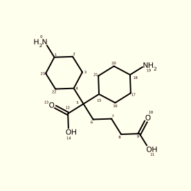 NC1CCC(C(CCCC(=O)O)(C(=O)O)C2CCC(N)CC2)CC1